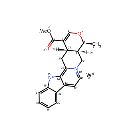 COC(=O)C1=CO[C@@H](C)[C@H]2C[n+]3ccc4c([n-]c5ccccc54)c3C[C@H]12.[W+4]